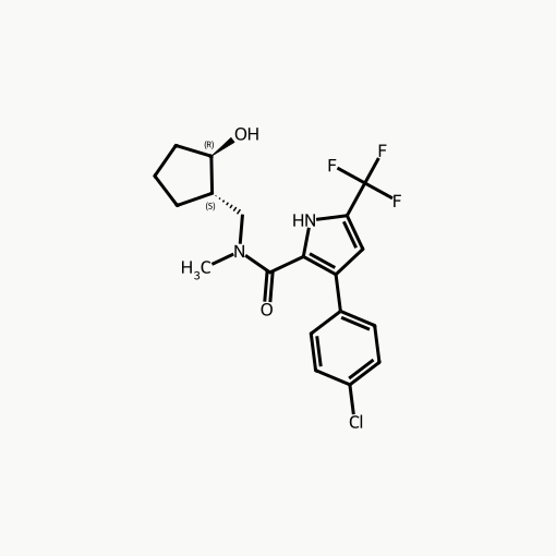 CN(C[C@@H]1CCC[C@H]1O)C(=O)c1[nH]c(C(F)(F)F)cc1-c1ccc(Cl)cc1